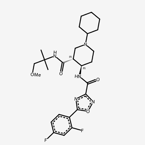 COCC(C)(C)NC(=O)[C@@H]1CN(C2CCCCC2)CC[C@H]1NC(=O)c1noc(-c2ccc(F)cc2F)n1